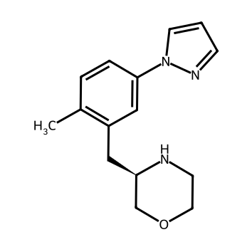 Cc1ccc(-n2cccn2)cc1C[C@@H]1COCCN1